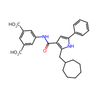 O=C(O)c1cc(NC(=O)c2cc(-c3ccccc3)[nH]c2CC2CCCCCC2)cc(C(=O)O)c1